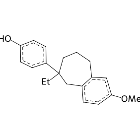 CCC1(c2ccc(O)cc2)CCCc2cc(OC)ccc2C1